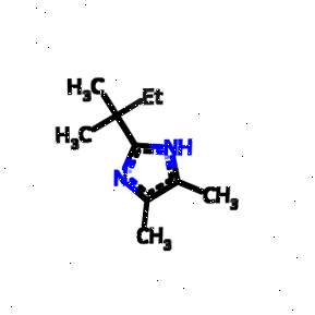 CCC(C)(C)c1nc(C)c(C)[nH]1